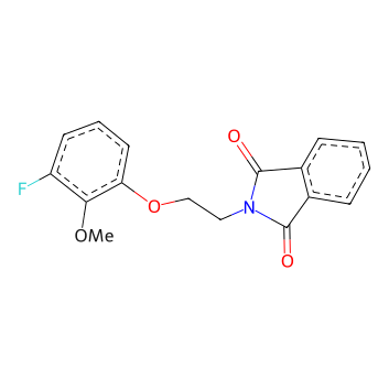 COc1c(F)cccc1OCCN1C(=O)c2ccccc2C1=O